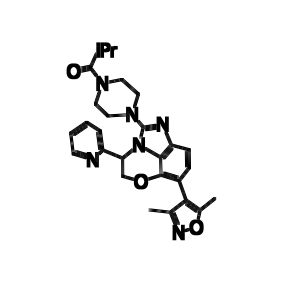 Cc1noc(C)c1-c1ccc2nc(N3CCN(C(=O)C(C)C)CC3)n3c2c1OCC3c1ccccn1